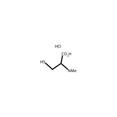 CNC(CS)C(=O)O.Cl